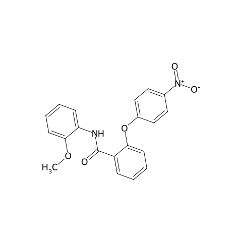 COc1ccccc1NC(=O)c1ccccc1Oc1ccc([N+](=O)[O-])cc1